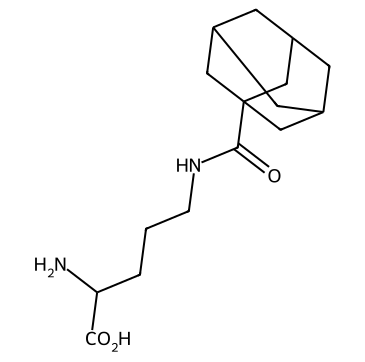 NC(CCCNC(=O)C12CC3CC(CC(C3)C1)C2)C(=O)O